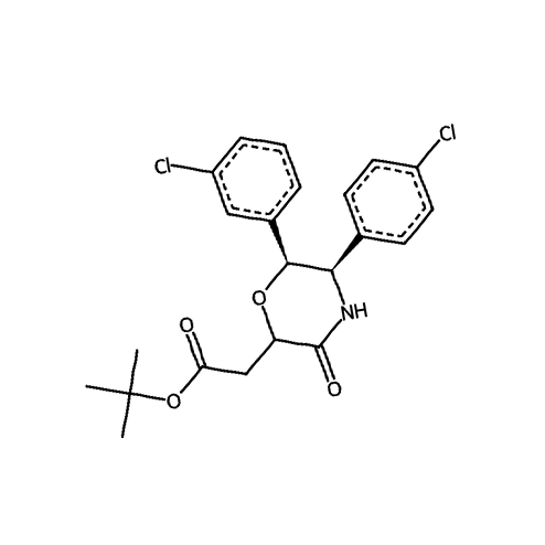 CC(C)(C)OC(=O)CC1O[C@@H](c2cccc(Cl)c2)[C@@H](c2ccc(Cl)cc2)NC1=O